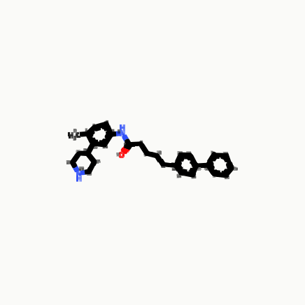 Cc1ccc(NC(=O)CCCCc2ccc(-c3ccccc3)cc2)cc1C1CCNCC1